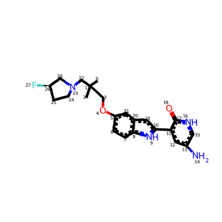 CC(C)(COc1ccc2[nH]c(-c3cc(N)c[nH]c3=O)cc2c1)CN1CC[C@@H](F)C1